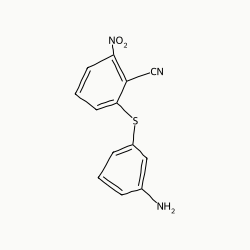 N#Cc1c(Sc2cccc(N)c2)cccc1[N+](=O)[O-]